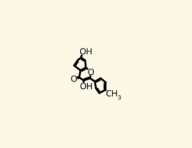 Cc1ccc(-c2oc3cc(O)ccc3c(=O)c2O)cc1